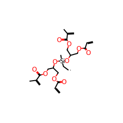 [CH2]C[Si](C)(OC(COC(=O)C=C)COC(=O)C(=C)C)OC(COC(=O)C=C)COC(=O)C(=C)C